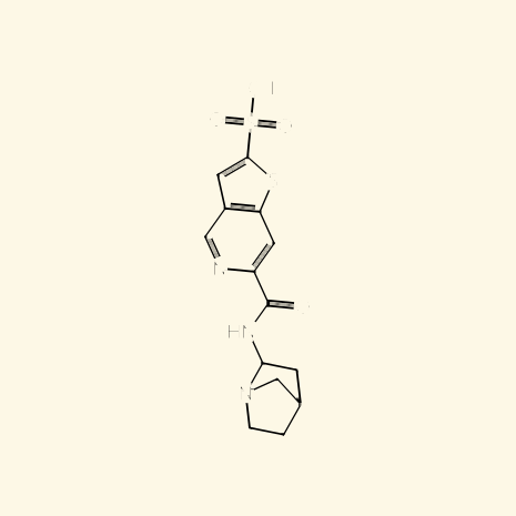 CS(=O)(=O)c1cc2cnc(C(=O)NC3CC4CCN3C4)cc2s1